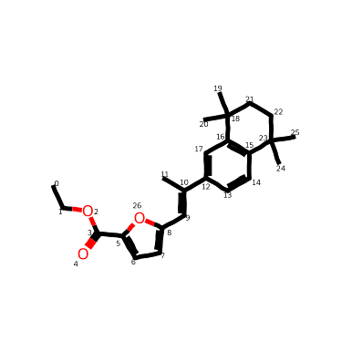 CCOC(=O)c1ccc(/C=C(\C)c2ccc3c(c2)C(C)(C)CCC3(C)C)o1